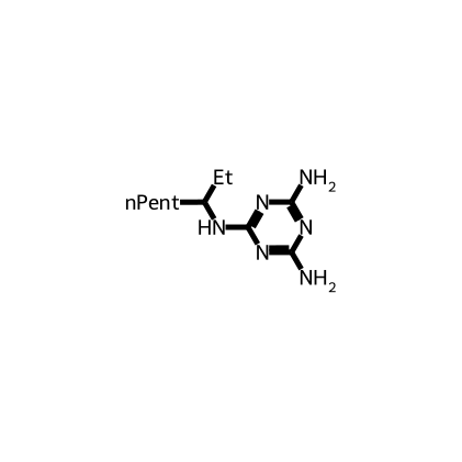 CCCCCC(CC)Nc1nc(N)nc(N)n1